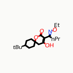 CCCC(=NOCC)C1=C(O)CC2(CCC(C(C)(C)C)CC2)OC1=O